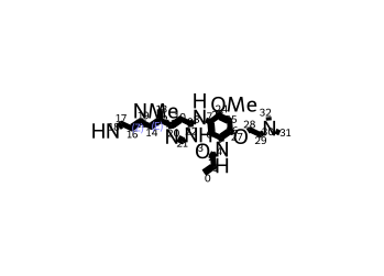 C=CC(=O)Nc1cc(NC2C=C(/C(C)=C/C(=C/C=N)NC)N=CN2)c(OC)cc1OCCN(C)C